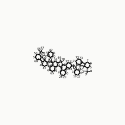 CC(C)(C)c1cccc2c1oc1c(N(c3ccccc3)c3ccc4c5c(c6ccccc6c4c3)-c3c(cc(N(c4ccccc4)c4cccc6c4oc4c(C(C)(C)C)cccc46)c4ccccc34)C5(C)C)cccc12